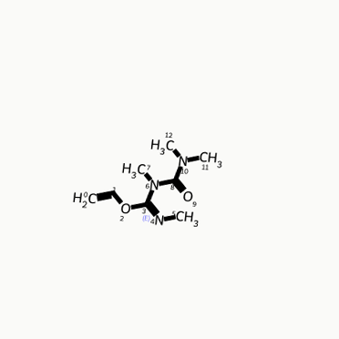 C=CO/C(=N/C)N(C)C(=O)N(C)C